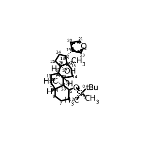 CC(C)(C)[Si](C)(C)OC1CCC[C@H]2CC[C@@H]3[C@H](CC[C@]4(C)[C@@H](c5ccoc5)CC[C@]34O)[C@@]12C